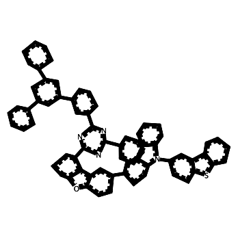 c1ccc(-c2cc(-c3ccccc3)cc(-c3cccc(-c4nc(-c5ccccc5)nc(-c5cccc6oc7ccc(-c8ccc9c(c8)c8ccccc8n9-c8ccc9sc%10ccccc%10c9c8)cc7c56)n4)c3)c2)cc1